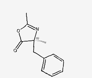 CC1=N[C@@](C)(Cc2ccccc2)C(=O)O1